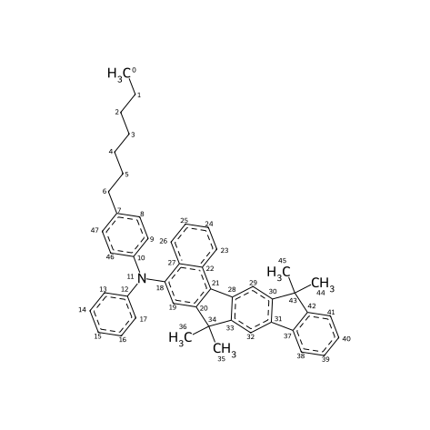 CCCCCCCc1ccc(N(c2ccccc2)c2cc3c(c4ccccc24)-c2cc4c(cc2C3(C)C)-c2ccccc2C4(C)C)cc1